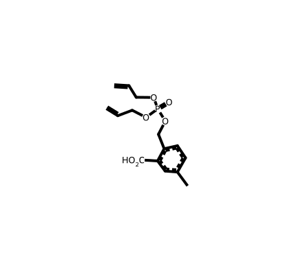 C=CCOP(=O)(OCC=C)OCc1ccc(C)cc1C(=O)O